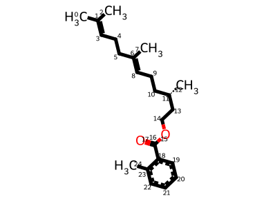 CC(C)=CCC/C(C)=C/CC[C@H](C)CCOC(=O)c1ccccc1C